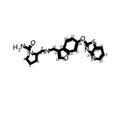 NC(=O)N1CCCC1CNCc1coc2cc(Oc3nc4ncccc4s3)ccc12